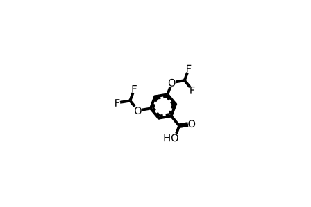 O=C(O)c1cc(OC(F)F)cc(OC(F)F)c1